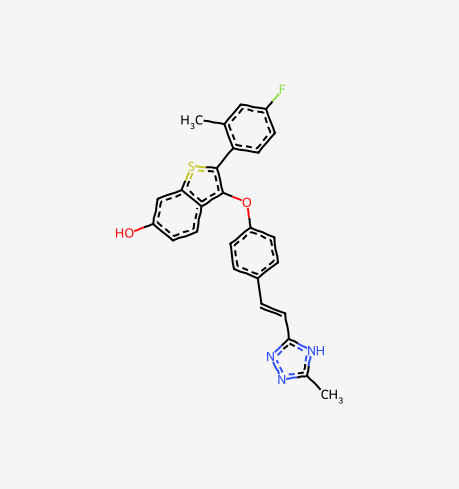 Cc1nnc(C=Cc2ccc(Oc3c(-c4ccc(F)cc4C)sc4cc(O)ccc34)cc2)[nH]1